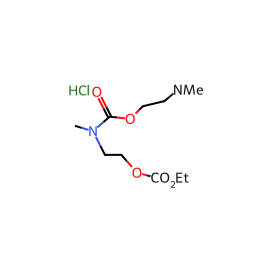 CCOC(=O)OCCN(C)C(=O)OCCNC.Cl